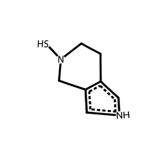 SN1CCc2c[nH]cc2C1